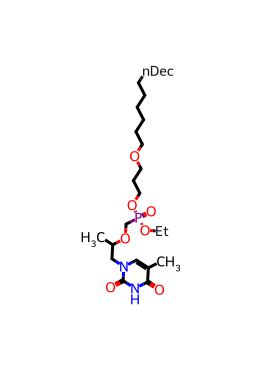 CCCCCCCCCCCCCCCCOCCCOP(=O)(COC(C)Cn1cc(C)c(=O)[nH]c1=O)OCC